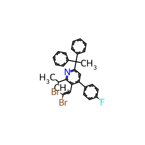 CC(C)c1nc(C(C)(c2ccccc2)c2ccccc2)cc(-c2ccc(F)cc2)c1C=C(Br)Br